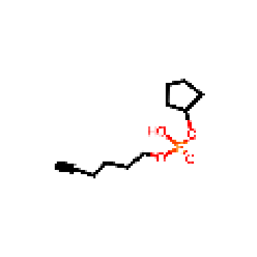 C#CCCCCOP(=O)(O)OC1CCCC1